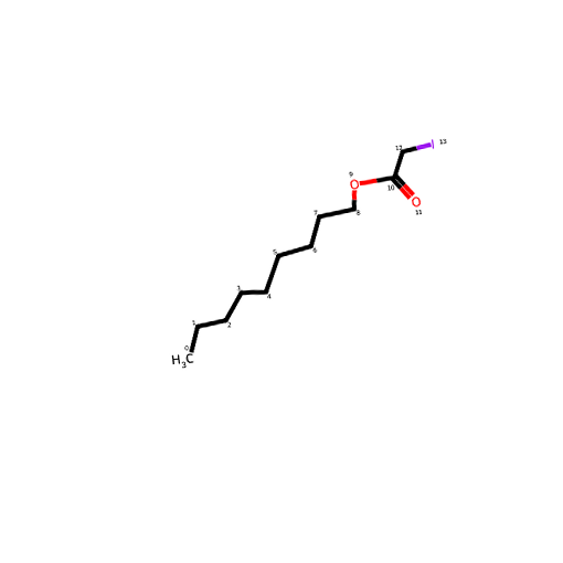 CCCCCCCCCOC(=O)CI